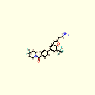 NCCc1cc2cc(-c3ccc(C(=O)N4CCC(F)(F)CC4)cc3)cc(C(F)(F)F)c2o1